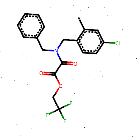 Cc1cc(Cl)ccc1CN(Cc1ccccc1)C(=O)C(=O)OCC(F)(F)F